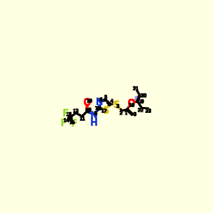 C=C(CSc1cnc(NC(=O)CCC(F)(F)F)s1)O/C(=C\C)CC